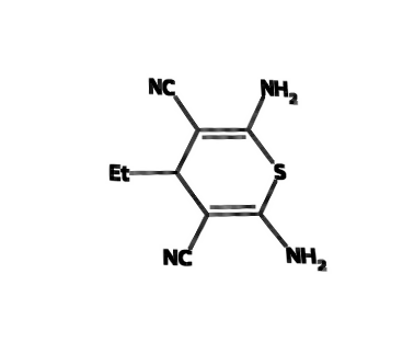 CCC1C(C#N)=C(N)SC(N)=C1C#N